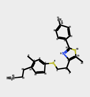 Cc1cc(SCC(C)c2nc(-c3ccc(C(F)(F)F)cc3)sc2C)ccc1CCC(=O)O